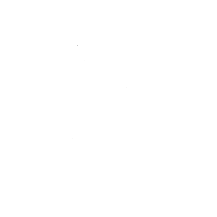 O=C(Cl)c1cc(NC(=O)c2ccccc2)cc([N+](=O)[O-])c1